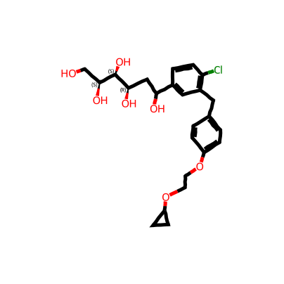 OC[C@H](O)[C@@H](O)[C@H](O)CC(O)c1ccc(Cl)c(Cc2ccc(OCCOC3CC3)cc2)c1